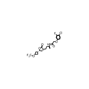 C=C(CCN1C[C@H](C2CC(OC(F)(F)F)C2)OC1=O)NC(=O)COc1ccc(Cl)c(F)c1